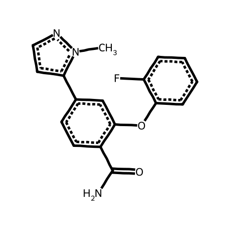 Cn1nccc1-c1ccc(C(N)=O)c(Oc2ccccc2F)c1